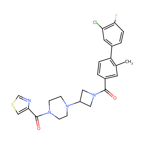 Cc1cc(C(=O)N2CC(N3CCN(C(=O)c4cscn4)CC3)C2)ccc1-c1ccc(F)c(Cl)c1